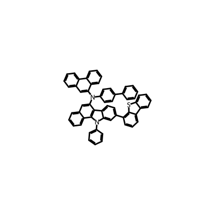 c1ccc(-c2ccc(N(c3cc4ccccc4c4ccccc34)c3cc4ccccc4c4c3c3ccc(-c5cccc6c5sc5ccccc56)cc3n4-c3ccccc3)cc2)cc1